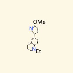 CCN1CCCc2cc(-c3ccc(OC)nc3)ccc21